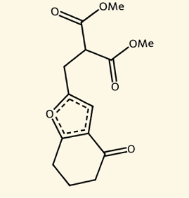 COC(=O)C(Cc1cc2c(o1)CCCC2=O)C(=O)OC